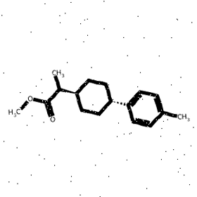 COC(=O)C(C)[C@H]1CC[C@H](c2ccc(C)cc2)CC1